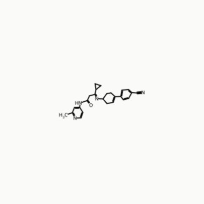 Cc1cc(NC(=O)CC(=NC2CC=C(c3ccc(C#N)cc3)CC2)C2CC2)ccn1